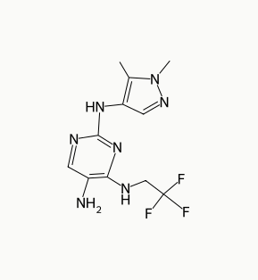 Cc1c(Nc2ncc(N)c(NCC(F)(F)F)n2)cnn1C